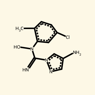 Cc1ccc(Cl)cc1N(O)C(=N)n1cc(N)cn1